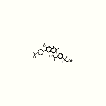 COc1cc2nc(C)nc(N[C@H](C)c3cccc(C(F)(F)CO)c3)c2cc1C1CCN(C(C)=O)CC1